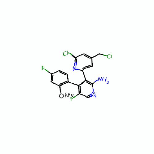 COc1cc(F)ccc1-c1c(F)cnc(N)c1-c1cc(CCl)cc(Cl)n1